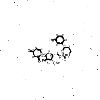 CC(=O)O[C@@H]1[C@@H](CO[P@@]2(=O)OCC[C@@H](c3cccc(Cl)c3)O2)O[C@@H](N2C=CC(=O)CC2=O)[C@]1(C)F